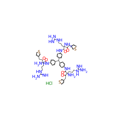 Cl.N=C(N)NCCC[C@](N)(C(=O)Cc1ccsc1)C(=O)Nc1ccc(C(c2ccc(NC(=O)[C@](N)(CCCNC(=N)N)C(=O)Cc3ccsc3)cc2)c2ccc(NC(=O)[C@](N)(CCCNC(=N)N)C(=O)Cc3ccsc3)cc2)cc1